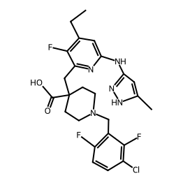 CCc1cc(Nc2cc(C)[nH]n2)nc(CC2(C(=O)O)CCN(Cc3c(F)ccc(Cl)c3F)CC2)c1F